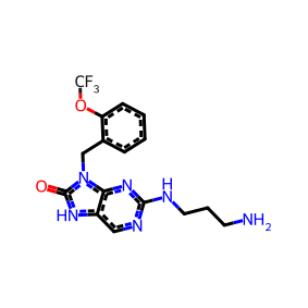 NCCCNc1ncc2[nH]c(=O)n(Cc3ccccc3OC(F)(F)F)c2n1